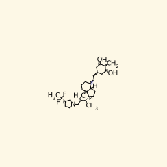 C=C1[C@H](O)CC(=C/C=C2\CCC[C@]3(C)[C@@H](C(C)CCN4CC[C@H](C(C)(F)F)C4)CC[C@@H]23)C[C@H]1O